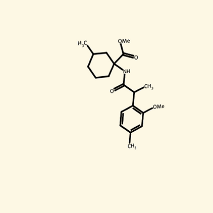 COC(=O)C1(NC(=O)C(C)c2ccc(C)cc2OC)CCCC(C)C1